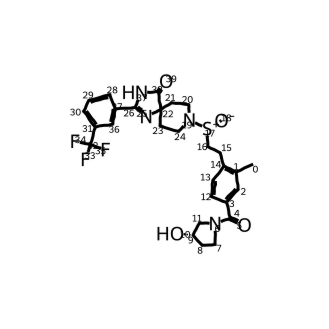 Cc1cc(C(=O)N2CC[C@H](O)C2)ccc1CC[S+]([O-])N1CCC2(CC1)N=C(c1cccc(C(F)(F)F)c1)NC2=O